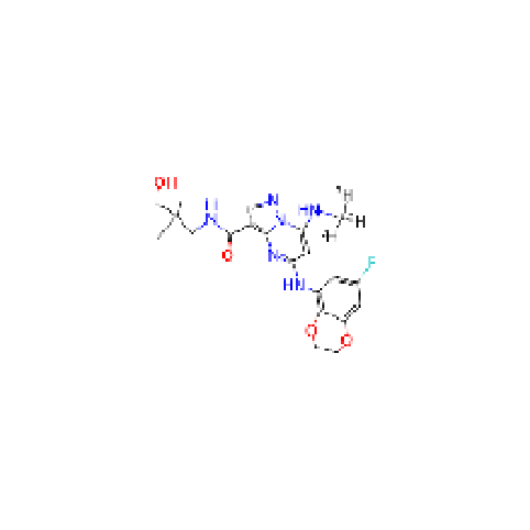 [2H]C([2H])([2H])Nc1cc(Nc2cc(F)cc3c2OCCO3)nc2c(C(=O)NCC(C)(C)CO)cnn12